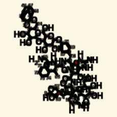 CCCCCCC1(C(O)[C@H](NC(=O)[C@@H](NC(=O)[C@H](Cc2ccc(OC3OC(CO)C(OC4OC5COC6(OC5C(O)C4O)C4CC5CC(C4)CC6C5)C(O)C3O)cc2)NC(=O)[C@@H](NC(=O)CN)C(C)c2ccccc2)C(O)C2CNC(=N)N2)C(=O)N[C@H]([C]=O)CO)CNC(=N)N1C1OC(CO)C(O)C(O)C1O